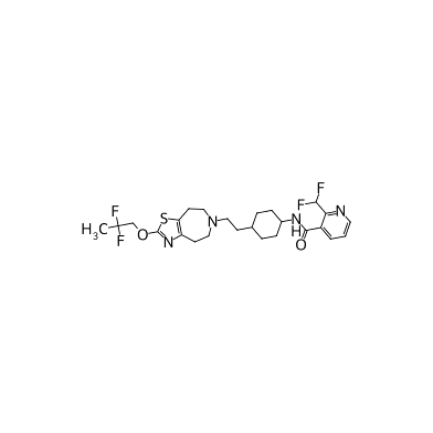 CC(F)(F)COc1nc2c(s1)CCN(CCC1CCC(NC(=O)c3cccnc3C(F)F)CC1)CC2